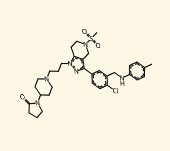 Cc1ccc(NCc2cc(-c3nn(CCCN4CCC(N5CCCC5=O)CC4)c4c3CN(S(C)(=O)=O)CC4)ccc2Cl)cc1